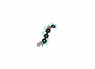 CCCc1ccc(-c2ccc(-c3ccc(OC(F)(F)c4cc(F)c(F)c(F)c4)c(F)c3)c(F)c2)c(F)c1F